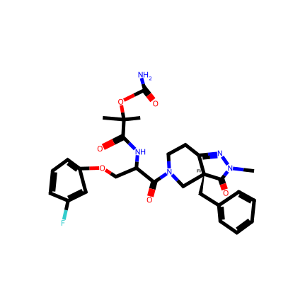 CN1N=C2CCN(C(=O)C(COc3cccc(F)c3)NC(=O)C(C)(C)OC(N)=O)C[C@@]2(Cc2ccccc2)C1=O